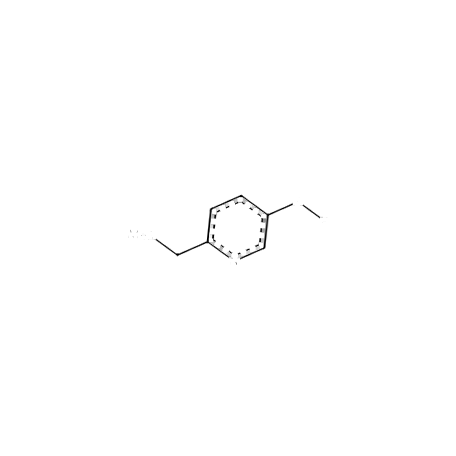 CSCc1ccc(SF)cn1